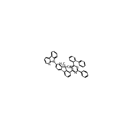 CC1(C)c2cc(-n3c4ccccc4c4cccnc43)ccc2-c2cccc(-c3nc(-c4ccccc4)nc(-c4ccccc4-c4ccccc4)n3)c21